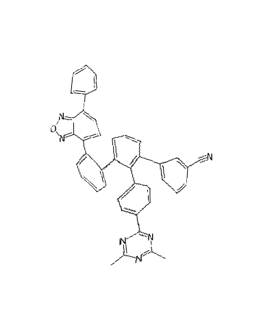 Cc1nc(C)nc(-c2ccc(-c3c(-c4cccc(C#N)c4)cccc3-c3ccccc3-c3ccc(-c4ccccc4)c4nonc34)cc2)n1